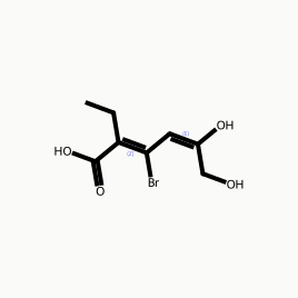 CC/C(C(=O)O)=C(Br)\C=C(\O)CO